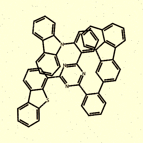 c1ccc(-c2nc(-c3ccccc3-n3c4ccccc4c4ccccc43)nc(-c3cccc4c3sc3ccccc34)n2)c(-c2ccc3c(c2)-c2cccc4cccc-3c24)c1